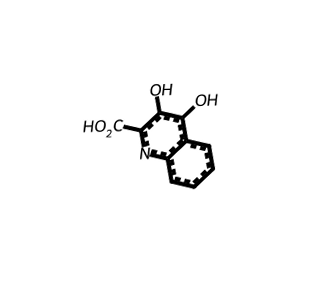 O=C(O)c1nc2ccccc2c(O)c1O